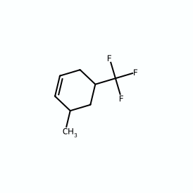 CC1C=CCC(C(F)(F)F)C1